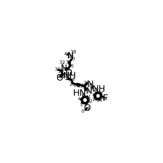 COc1ccc(Nc2nc(Nc3cccc(F)c3)ncc2C#CCCCNC(=O)C(C)N(C)C(=O)/C=C/CN(C)C)cc1